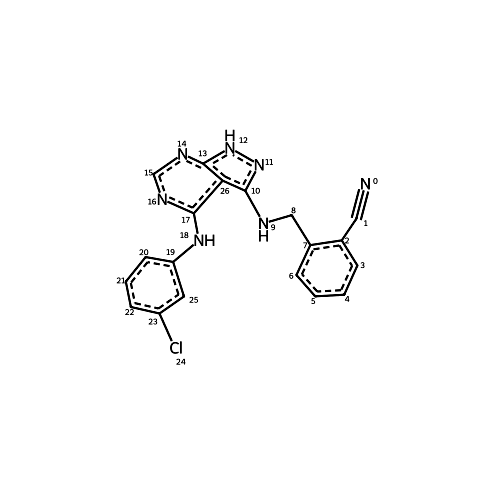 N#Cc1ccccc1CNc1n[nH]c2ncnc(Nc3cccc(Cl)c3)c12